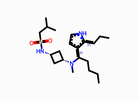 CC/C=c1\[nH]cc\c1=C(\CCCC)N(C)[C@H]1C[C@@H](NS(=O)(=O)CC(C)C)C1